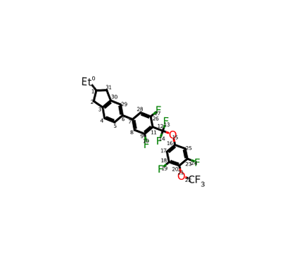 CCC1Cc2ccc(-c3cc(F)c(C(F)(F)Oc4cc(F)c(OC(F)(F)F)c(F)c4)c(F)c3)cc2C1